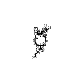 CCCCOC(=O)C1CCCCCCC(CC=O)(NC(=O)OC(C)(C)C)CCCCC1